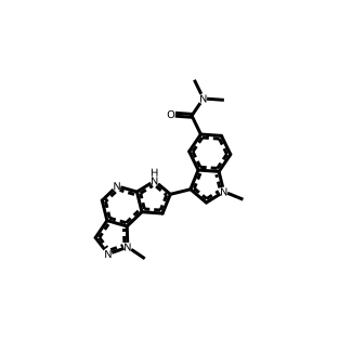 CN(C)C(=O)c1ccc2c(c1)c(-c1cc3c(ncc4cnn(C)c43)[nH]1)cn2C